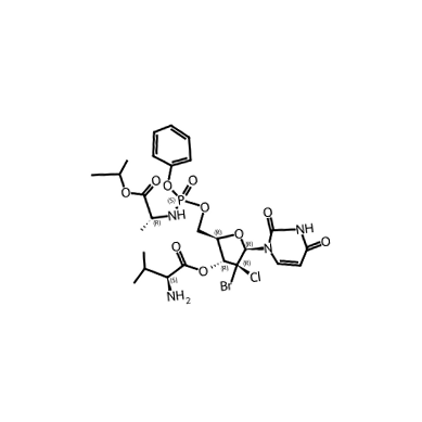 CC(C)OC(=O)[C@@H](C)N[P@](=O)(OC[C@H]1O[C@@H](n2ccc(=O)[nH]c2=O)[C@](Cl)(Br)[C@@H]1OC(=O)[C@@H](N)C(C)C)Oc1ccccc1